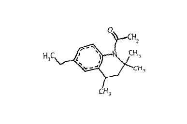 CCc1ccc2c(c1)C(C)CC(C)(C)N2C(C)=O